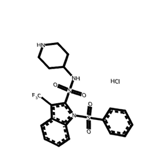 Cl.O=S(=O)(NC1CCNCC1)c1c(C(F)(F)F)c2ccccc2n1S(=O)(=O)c1ccccc1